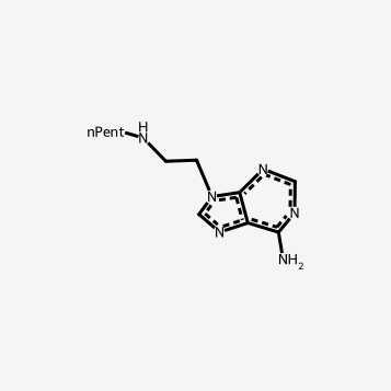 CCCCCNCCn1cnc2c(N)ncnc21